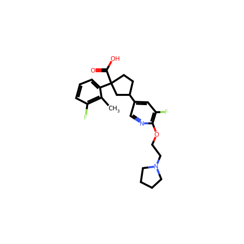 Cc1c(F)cccc1C1(C(=O)O)CCC(c2cnc(OCCN3CCCC3)c(F)c2)C1